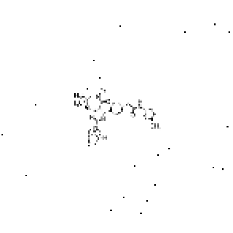 CCN1CC(C)(C)Oc2nc(N3CC4CC[C@H](C3)O4)nc(-c3ccc(NC(=O)Nc4ccn(C)n4)cc3)c2C1=O